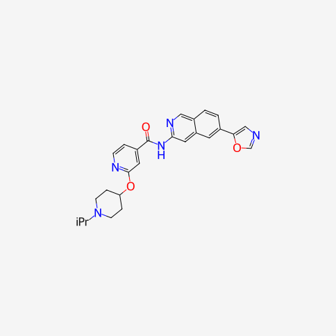 CC(C)N1CCC(Oc2cc(C(=O)Nc3cc4cc(-c5cnco5)ccc4cn3)ccn2)CC1